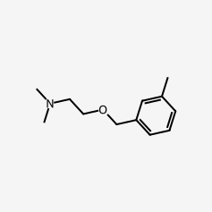 Cc1cccc(COCCN(C)C)c1